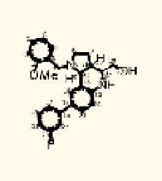 COc1ccccc1CN1CC[C@@H]2[C@H]1c1cc(-c3cccc(F)c3)ccc1N[C@@H]2CO